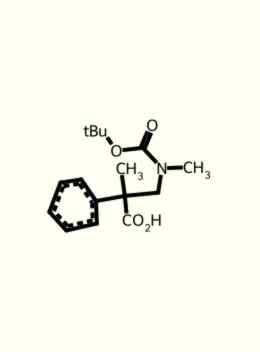 CN(CC(C)(C(=O)O)c1ccccc1)C(=O)OC(C)(C)C